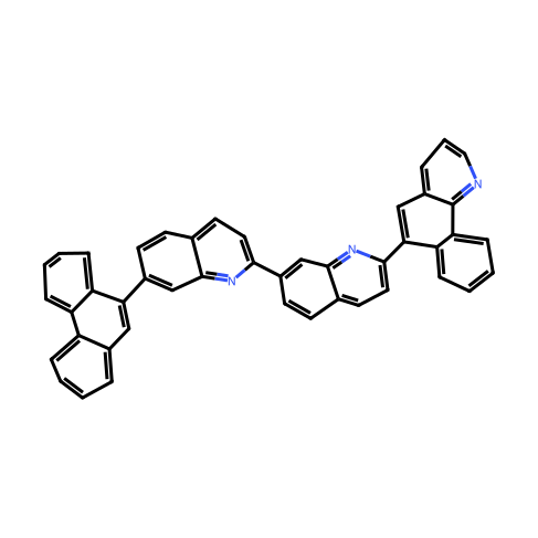 c1ccc2c(c1)cc(-c1ccc3ccc(-c4ccc5ccc(-c6cc7cccnc7c7ccccc67)nc5c4)nc3c1)c1ccccc12